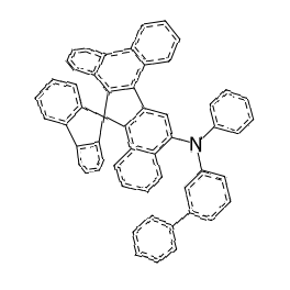 c1ccc(-c2cccc(N(c3ccccc3)c3cc4c(c5ccccc35)C3(c5ccccc5-c5ccccc53)c3c-4c4ccccc4c4ccccc34)c2)cc1